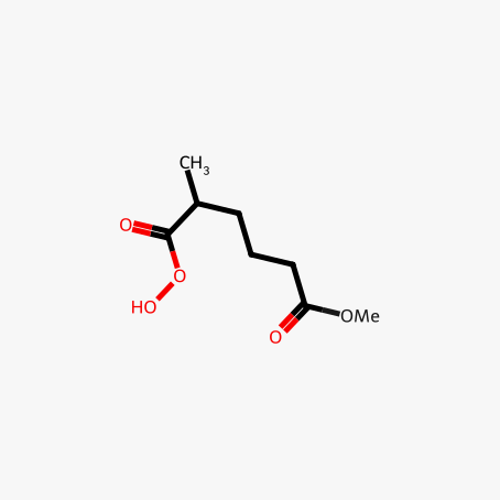 COC(=O)CCCC(C)C(=O)OO